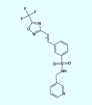 O=S(=O)(NCc1cccnc1)c1cccc(/C=C/c2noc(C(F)(F)F)n2)c1